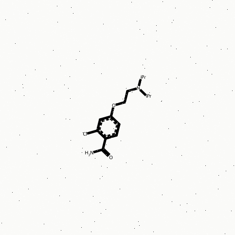 CC(C)N(CCOc1ccc(C(N)=O)c(Cl)c1)C(C)C